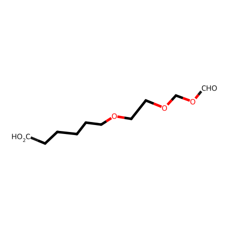 O=COCOCCOCCCCCC(=O)O